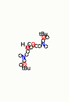 Cc1c2oc3cc4cc(N(c5ccccc5)c5ccc6oc7c(C(C)(C)C)cccc7c6c5)ccc4cc3c2cc2c1oc1cc3cc(N(c4ccccc4)c4ccc5oc6c(C(C)(C)C)cccc6c5c4)ccc3cc12